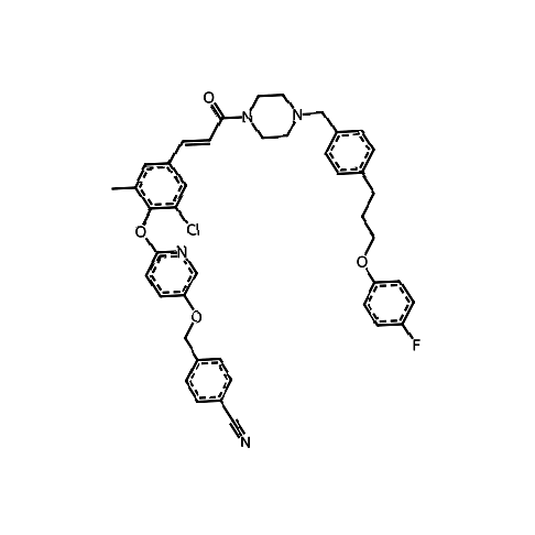 Cc1cc(/C=C/C(=O)N2CCN(Cc3ccc(CCCOc4ccc(F)cc4)cc3)CC2)cc(Cl)c1Oc1ccc(OCc2ccc(C#N)cc2)cn1